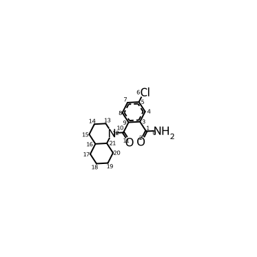 NC(=O)c1cc(Cl)ccc1C(=O)N1CCCC2CCCCC21